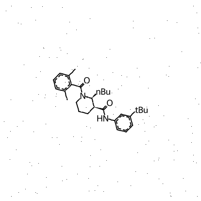 CCCC[C@H]1[C@@H](C(=O)Nc2cccc(C(C)(C)C)c2)CCCN1C(=O)c1c(C)cccc1C